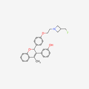 CC1=C(c2cccc(O)c2)C(c2ccc(OCCN3CC(CF)C3)cc2)Oc2ccccc21